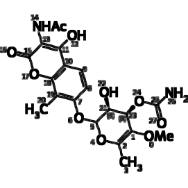 COC1=C(C)OC(Oc2ccc3c(O)c(NC(C)=O)c(=O)oc3c2C)[C@@H](O)[C@H]1OC(N)=O